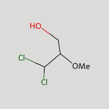 COC(CO)C(Cl)Cl